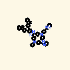 CC1(C)c2ccccc2-c2ccc(-c3cc4nc(-c5ccc(N(c6ccccc6)c6ccc(-c7cn8ccccc8n7)cc6)cc5)c(-c5ccc(N(c6ccccc6)c6ccc(-c7cn8ccccc8n7)cc6)cc5)nc4cc3-c3ccc4c(c3)C(C)(C)c3ccccc3-4)cc21